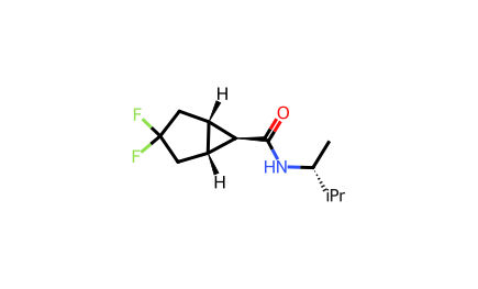 CC(C)[C@@H](C)NC(=O)[C@H]1[C@@H]2CC(F)(F)C[C@@H]21